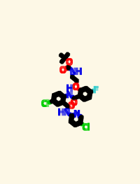 CC(C)(C)OC(=O)NCCOc1cc(F)ccc1C(=O)Nc1ccc(Cl)cc1C(=O)Nc1ccc(Cl)cn1